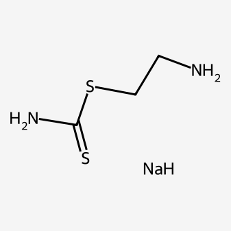 NCCSC(N)=S.[NaH]